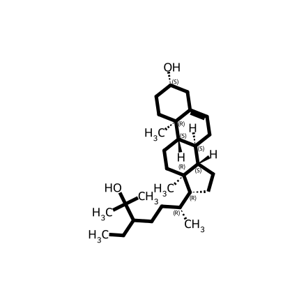 CCC(CC[C@@H](C)[C@H]1CC[C@H]2[C@@H]3CC=C4C[C@@H](O)CC[C@]4(C)[C@H]3CC[C@]12C)C(C)(C)O